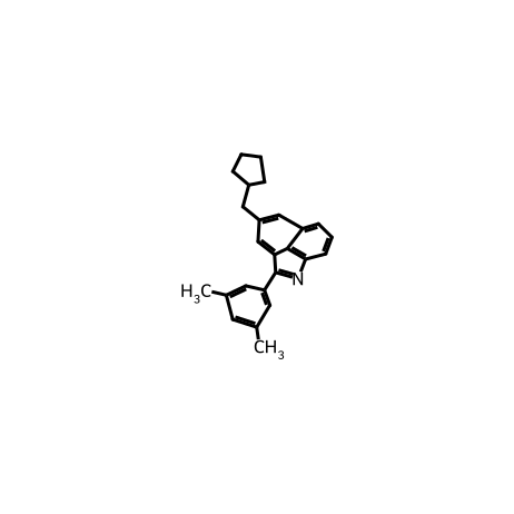 Cc1cc(C)cc(C2=Nc3cccc4cc(CC5CCCC5)cc2c34)c1